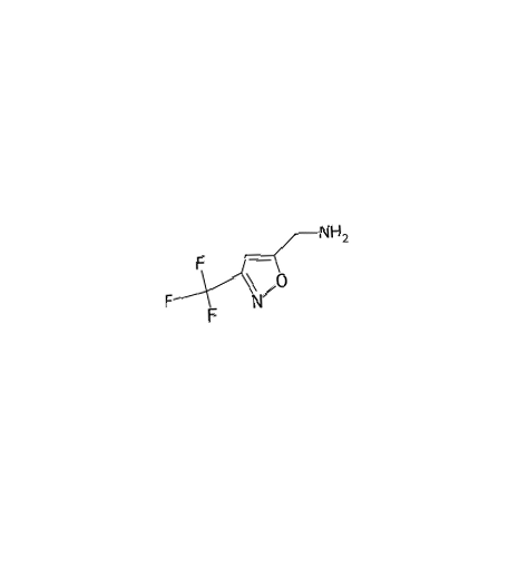 NCc1cc(C(F)(F)F)no1